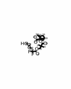 CC(C)(COC(=O)C(F)(F)SOOO)C(=O)OC1C2CC3C(=O)OC1C3C2